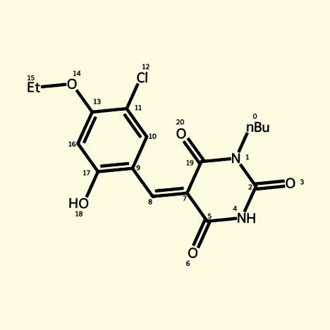 CCCCN1C(=O)NC(=O)C(=Cc2cc(Cl)c(OCC)cc2O)C1=O